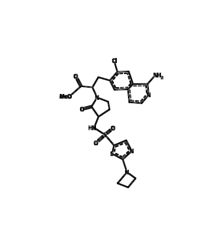 COC(=O)C(Cc1cc2ccnc(N)c2cc1Cl)N1CCC(NS(=O)(=O)c2cnc(N3CCC3)s2)C1=O